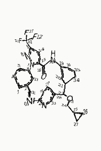 NCc1cccc(-n2nc(C(F)(F)F)cc2C(=O)NC2=CC(C(OCC3CC3)c3cccnc3)CC=C2)c1